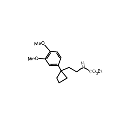 CCOC(=O)NCCC1(c2ccc(OC)c(OC)c2)CCC1